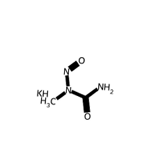 CN(N=O)C(N)=O.[KH]